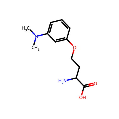 CN(C)c1cccc(OCCC(N)C(=O)O)c1